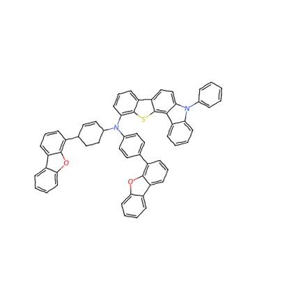 C1=CC(N(c2ccc(-c3cccc4c3oc3ccccc34)cc2)c2cccc3c2sc2c3ccc3c2c2ccccc2n3-c2ccccc2)CCC1c1cccc2c1oc1ccccc12